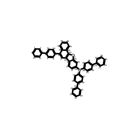 c1ccc(-c2ccc(-c3cc4c5ccc(N(c6ccc(-c7ccccc7)cc6)c6ccc(-c7ccccc7)cc6)cc5oc4c4ccccc34)cc2)cc1